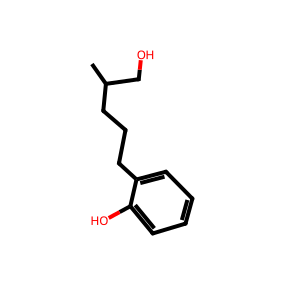 CC(CO)CCCc1ccccc1O